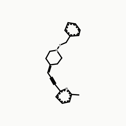 Cc1cccc(C#CC=C2CCN(SCc3ccccc3)CC2)n1